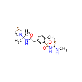 CNC(=S)NS(=O)(=O)c1cc(CC(=O)NC(C)(C)N2C=CSC2)ccc1C